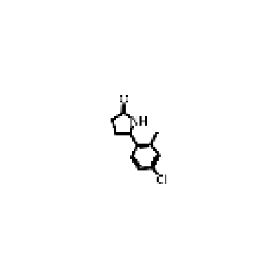 Cc1cc(Cl)ccc1C1CCC(=O)N1